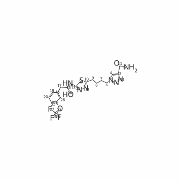 NC(=O)c1cn(CCCCc2nnc(NC(O)Cc3cccc(OC(F)(F)F)c3)s2)nn1